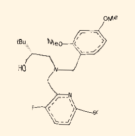 COc1ccc(CN(Cc2nc(Br)ccc2F)C[C@H](O)C(C)(C)C)c(OC)c1